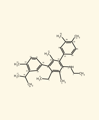 CCNc1c(C)c(CC)c(-c2ccc(C)c(C(C)C)c2)c(C)c1-c1ccc(C)c(C)c1